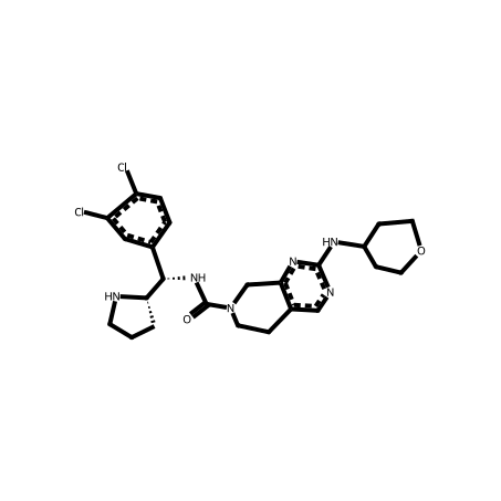 O=C(N[C@@H](c1ccc(Cl)c(Cl)c1)[C@@H]1CCCN1)N1CCc2cnc(NC3CCOCC3)nc2C1